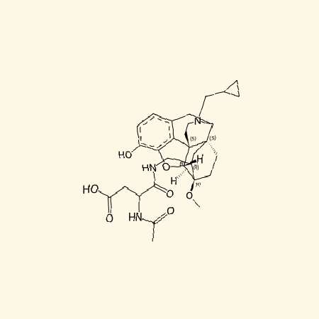 CO[C@]12CC[C@@]3(C[C@@H]1CNC(=O)C(CC(=O)O)NC(C)=O)C1Cc4ccc(O)c5c4[C@@]3(CCN1CC1CC1)[C@H]2O5